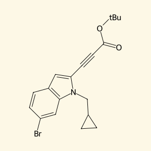 CC(C)(C)OC(=O)C#Cc1cc2ccc(Br)cc2n1CC1CC1